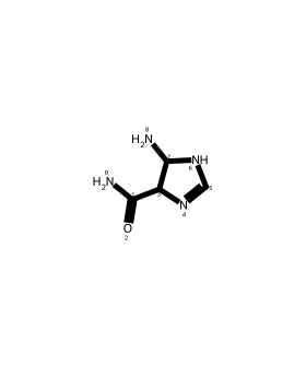 NC(=O)C1N=CNC1N